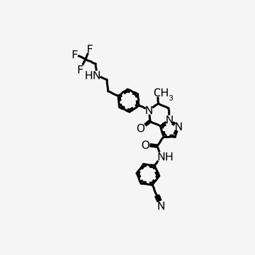 CC1Cn2ncc(C(=O)Nc3cccc(C#N)c3)c2C(=O)N1c1ccc(CCNCC(F)(F)F)cc1